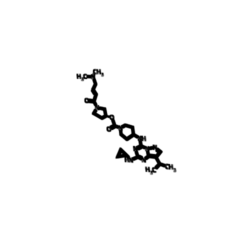 CC(C)c1cnn2c(NC3CCN(C(=O)O[C@H]4CCN(C(=O)/C=C/CN(C)C)C4)CC3)nc(NC3CC3)nc12